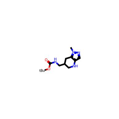 Cn1ncc2c1CC(CNC(=O)OC(C)(C)C)CN2